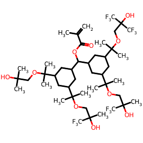 C=C(C)C(=O)OC(C1CC(C(C)(C)OCC(C)(C)O)CC(C(C)(C)OCC(C)(O)C(F)(F)F)C1)C1CC(C(C)(C)OCC(C)(O)C(F)(F)F)CC(C(C)(C)OCC(O)(C(F)(F)F)C(F)(F)F)C1